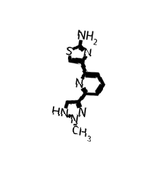 CN1N=C(c2cccc(-c3csc(N)n3)n2)CN1